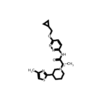 Cc1csc(C2CCCN([C@@H](C)C(=O)Nc3ccc(OCC4CC4)nn3)C2)n1